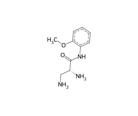 COc1ccccc1NC(=O)[C@H](N)CN